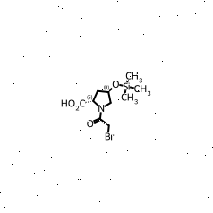 C[Si](C)(C)O[C@@H]1C[C@@H](C(=O)O)N(C(=O)CBr)C1